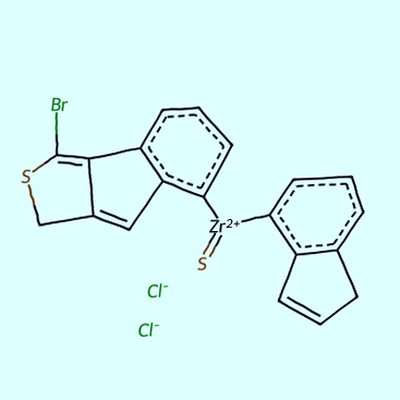 [Cl-].[Cl-].[S]=[Zr+2]([c]1cccc2c1C=CC2)[c]1cccc2c1C=C1CSC(Br)=C12